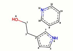 OCCc1cc[nH]c1.c1ccncc1